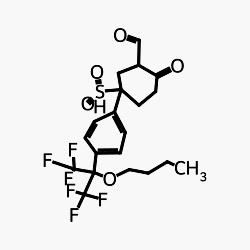 CCCCOC(c1ccc(C2([SH](=O)=O)CCC(=O)C(C=O)C2)cc1)(C(F)(F)F)C(F)(F)F